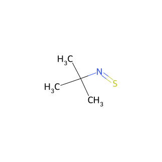 CC(C)(C)N=S